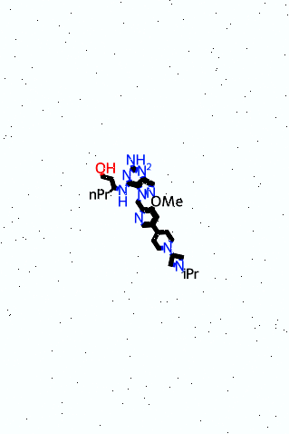 CCC[C@@H](CCO)Nc1nc(N)nc2cnn(Cc3ncc(C4CCN(C5CN(C(C)C)C5)CC4)cc3OC)c12